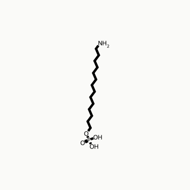 NCCCCCCCCCCCCCCOP(=O)(O)O